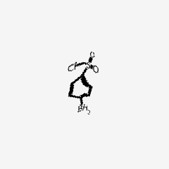 Bc1ccc(S(=O)(=O)Cl)cc1